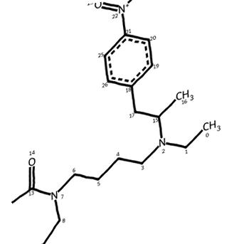 CCN(CCCCN1CCCCCC1=O)C(C)Cc1ccc([N+](=O)[O-])cc1